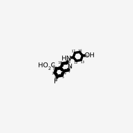 O=C(O)c1cc(F)cc2cnc(NC3CCC(O)CC3)cc12